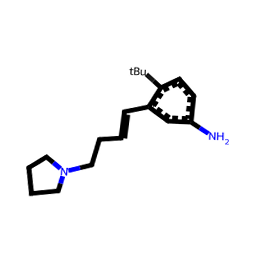 CC(C)(C)c1ccc(N)cc1/C=C/CCN1CCCC1